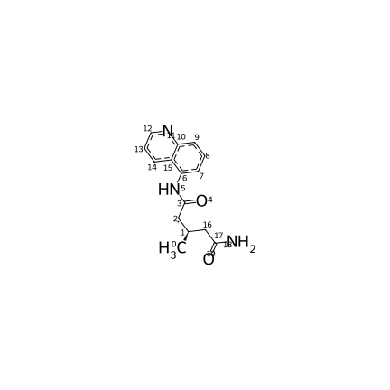 C[C@@H]([CH]C(=O)Nc1cccc2ncccc12)CC(N)=O